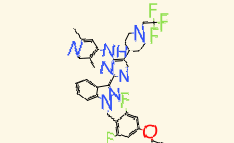 CCOc1cc(F)c(Cn2nc(-c3ncc(C4CCN(CC(F)(F)F)CC4)c(Nc4cc(C)ncc4C)n3)c3ccccc32)c(F)c1